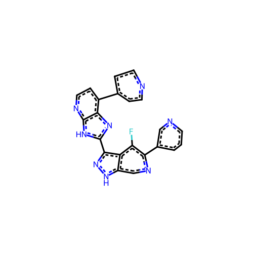 Fc1c(-c2cccnc2)ncc2[nH]nc(-c3nc4c(-c5ccncc5)ccnc4[nH]3)c12